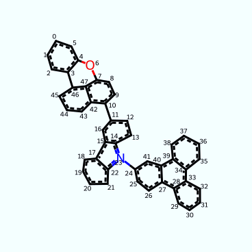 c1ccc2c(c1)Oc1ccc(-c3ccc4c(c3)c3ccccc3n4-c3ccc4c5ccccc5c5ccccc5c4c3)c3cccc-2c13